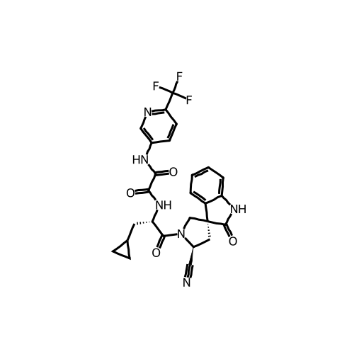 N#C[C@@H]1C[C@@]2(CN1C(=O)[C@H](CC1CC1)NC(=O)C(=O)Nc1ccc(C(F)(F)F)nc1)C(=O)Nc1ccccc12